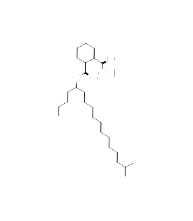 CCCCC(CCCCCCCCCCC(C)C)OC(=O)C1CCCCC1C(=O)O